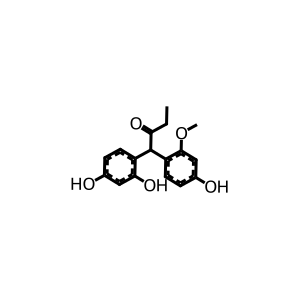 CCC(=O)C(c1ccc(O)cc1O)c1ccc(O)cc1OC